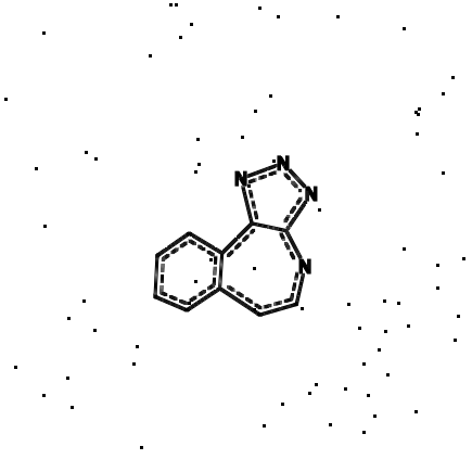 c1ccc2c3nnnc-3nccc2c1